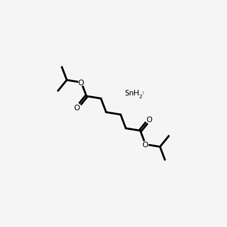 CC(C)OC(=O)CCCCC(=O)OC(C)C.[SnH2]